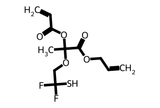 C=CCOC(=O)C(C)(OCC(F)(F)S)OC(=O)C=C